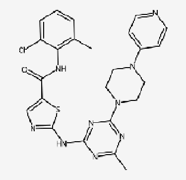 Cc1nc(Nc2ncc(C(=O)Nc3c(C)cccc3Cl)s2)nc(N2CCN(c3ccncc3)CC2)n1